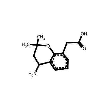 CC1(C)CC(N)c2cccc(CC(=O)O)c2O1